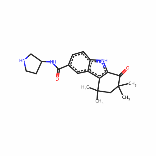 CC1(C)CC(C)(C)c2c([nH]c3ccc(C(=O)NC4CCNC4)cc23)C1=O